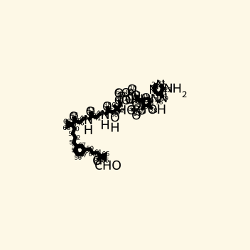 CC(C)(COP(=O)(O)OP(=O)(O)OCC1OC(n2cnc3c(N)ncnc32)C(O)C1OP(=O)(O)O)C(O)C(=O)NCCC(=O)NCCC(=O)C1(CCCCc2cccc(CCCC3(OC=O)CC3)c2)CC1